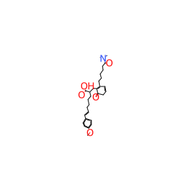 COc1ccc(/C=C/CCCCC(CC2=C(CCCCCC(=O)N(C)C)C=CCC2=O)C(=O)O)cc1